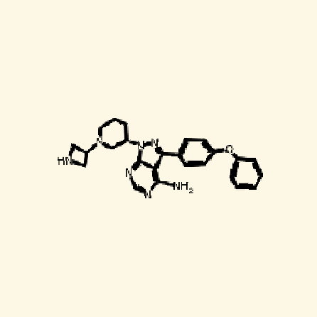 Nc1ncnc2c1c(-c1ccc(Oc3ccccc3)cc1)nn2[C@@H]1CCCN(C2CNC2)C1